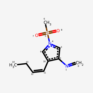 C=Nc1cn(S(C)(=O)=O)cc1/C=C\CC